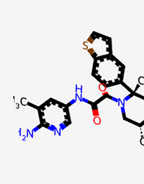 Cc1cc(NC(=O)C(=O)N2C[C@@H](C)CC[C@@]2(C)c2ccc3sccc3c2)cnc1N